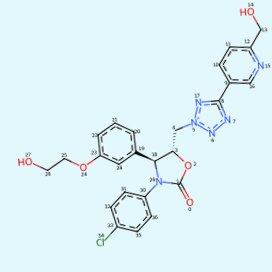 O=C1O[C@@H](Cn2nnc(-c3ccc(CO)nc3)n2)[C@H](c2cccc(OCCO)c2)N1c1ccc(Cl)cc1